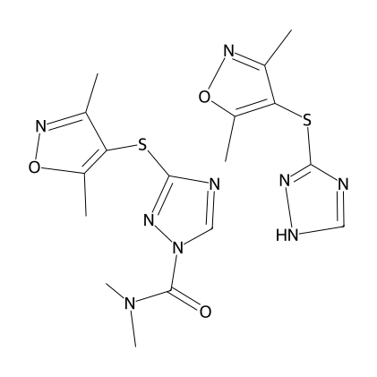 Cc1noc(C)c1Sc1nc[nH]n1.Cc1noc(C)c1Sc1ncn(C(=O)N(C)C)n1